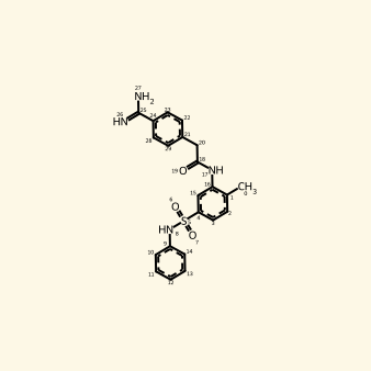 Cc1ccc(S(=O)(=O)Nc2ccccc2)cc1NC(=O)Cc1ccc(C(=N)N)cc1